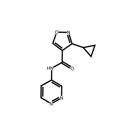 O=C(Nc1ccnnc1)c1conc1C1CC1